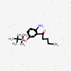 CCCCC(=O)c1cc(O[Si](C)(C)C(C)(C)C)ccc1N